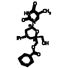 Cc1cn([C@H]2CN(C(C)C)C[C@@](CO)(COC(=O)c3ccccc3)O2)c(=O)[nH]c1=O